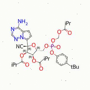 CC(C)C(=O)OCOP(=O)(OC[C@H]1O[C@@](C#N)(c2ccc3c(N)ncnn23)[C@H](OC(=O)C(C)C)[C@@H]1OC(=O)C(C)C)Oc1ccc(C(C)(C)C)cc1